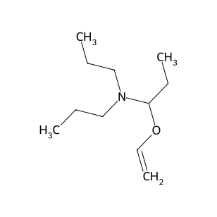 C=COC(CC)N(CCC)CCC